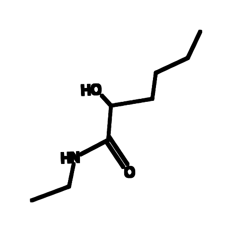 CCCCC(O)C(=O)NCC